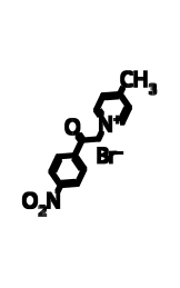 Cc1cc[n+](CC(=O)c2ccc([N+](=O)[O-])cc2)cc1.[Br-]